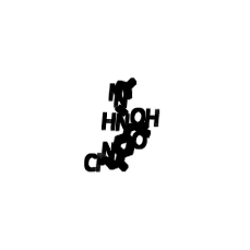 Cc1cnn(CCNC2c3cc4nc(Cl)cc(C)c4cc3OC(C)(C)C2O)c1